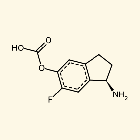 N[C@@H]1CCc2cc(OC(=O)O)c(F)cc21